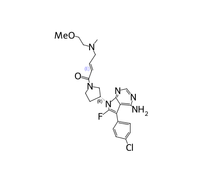 COCCN(C)C/C=C/C(=O)N1CC[C@@H](n2c(F)c(-c3ccc(Cl)cc3)c3c(N)ncnc32)C1